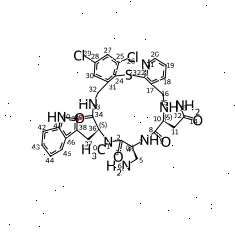 CN1C(=O)[C@H](CN)NC(=O)[C@H](CC(N)=O)NCc2cccnc2Sc2c(Cl)cc(Cl)cc2CNC(=O)[C@@H]1Cc1c[nH]c2ccccc12